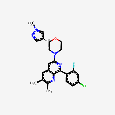 Cc1cc2cc(N3CCO[C@@H](c4cnn(C)c4)C3)nc(-c3ccc(Cl)cc3F)c2nc1C